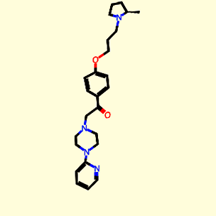 C[C@@H]1CCCN1CCCOc1ccc(C(=O)CN2CCN(c3ccccn3)CC2)cc1